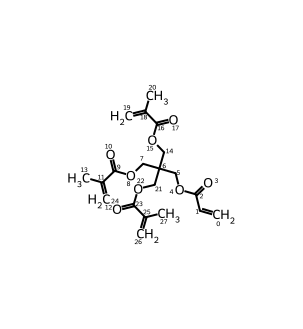 C=CC(=O)OCC(COC(=O)C(=C)C)(COC(=O)C(=C)C)COC(=O)C(=C)C